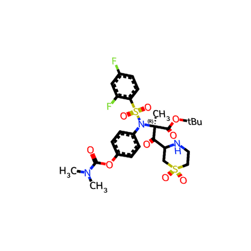 CN(C)C(=O)Oc1ccc(N([C@@](C)(C(=O)OC(C)(C)C)C(=O)C2CS(=O)(=O)CCN2)S(=O)(=O)c2ccc(F)cc2F)cc1